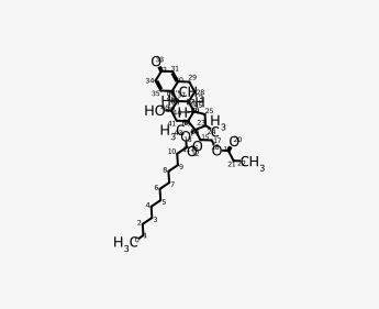 CCCCCCCCCCCC(=O)O[C@]1(C(=O)COC(=O)CC)C(C)C[C@H]2[C@@H]3CCC4=CC(=O)C=C[C@]4(C)[C@H]3C(O)C[C@@]21C